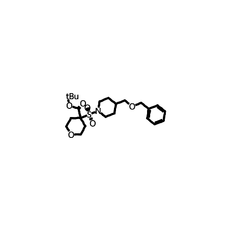 CC(C)(C)OC(=O)C1(S(=O)(=O)N2CCC(COCc3ccccc3)CC2)CCOCC1